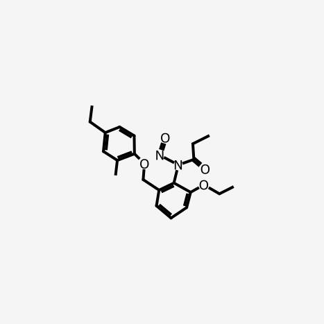 CCOc1cccc(COc2ccc(CC)cc2C)c1N(N=O)C(=O)CC